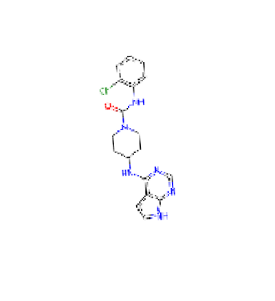 O=C(Nc1ccccc1Cl)N1CCC(Nc2ncnc3[nH]ccc23)CC1